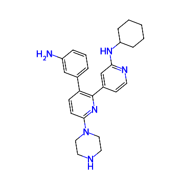 Nc1cccc(-c2ccc(N3CCNCC3)nc2-c2ccnc(NC3CCCCC3)c2)c1